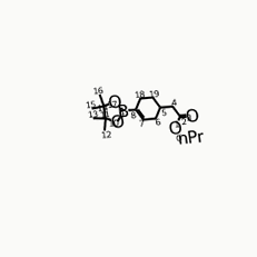 CCCOC(=O)CC1CC=C(B2OC(C)(C)C(C)(C)O2)CC1